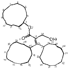 O=C(OC1CCCCCCCCC1)C(CO)=C(C1CCCCCCCCC1)C1CCCCCCCCC1